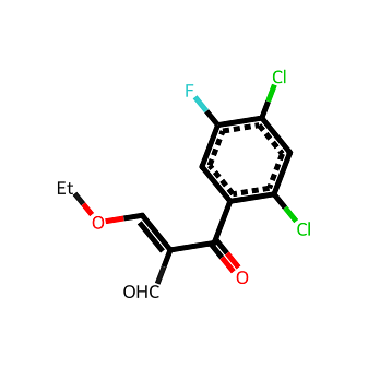 CCOC=C(C=O)C(=O)c1cc(F)c(Cl)cc1Cl